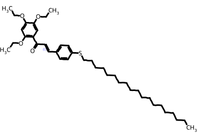 CCCCCCCCCCCCCCCCCCCSc1ccc(/C=C/C(=O)c2cc(OCC)c(OCC)cc2OCC)cc1